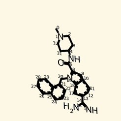 CN1CCC(NC(=O)c2cc3ccc(C(=N)N)cc3n2Cc2cccc3ccccc23)CC1